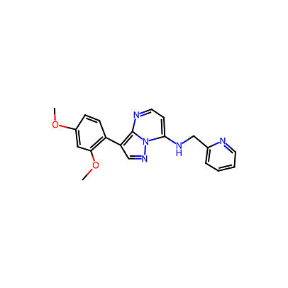 COc1ccc(-c2cnn3c(NCc4ccccn4)ccnc23)c(OC)c1